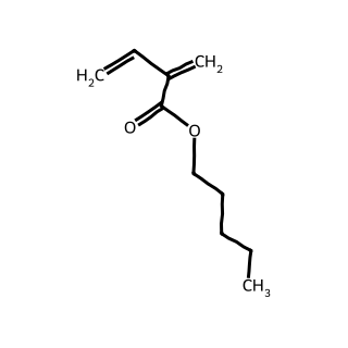 C=CC(=C)C(=O)OCCCCC